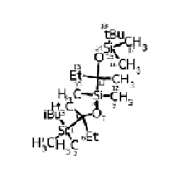 CCC(C)[Si](C)(C)C(C)(CC)O[Si](C)(C)C(C)(CC)O[Si](C)(C)C(C)(C)C